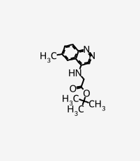 Cc1ccc2nncc(NCC(=O)OC(C)(C)C)c2c1